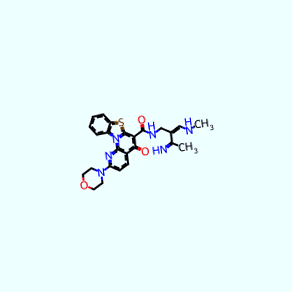 CN/C=C(/CNC(=O)c1c(=O)c2ccc(N3CCOCC3)nc2n2c1sc1ccccc12)C(C)=N